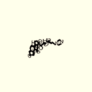 CN1CCN(CCCC(=O)OCC(=O)[C@@]2(O)CC[C@H]3[C@@H]4CCC5=CC(=O)C=C[C@]5(C)[C@H]4C(=O)C[C@@]32C)CC1